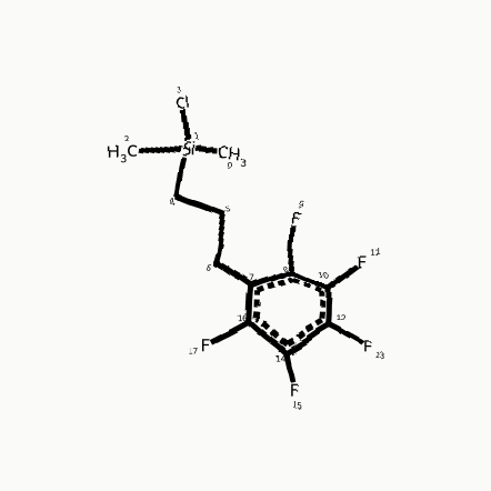 C[Si](C)(Cl)CCCc1c(F)c(F)c(F)c(F)c1F